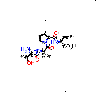 CC(C)C[C@H](NC(=O)[C@@H]1CCCN1C(=O)[C@@H](NC(=O)[C@@H](N)[C@@H](C)O)C(C)C)C(=O)O